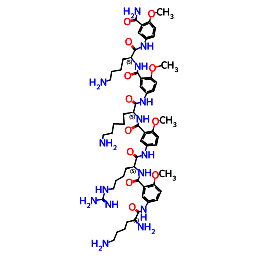 COc1ccc(NC(=O)[C@H](CCCCN)NC(=O)c2cc(NC(=O)[C@H](CCCCCN)NC(=O)c3cc(NC(=O)[C@H](CCCCNC(=N)N)NC(=O)c4cc(NC(=O)[C@@H](N)CCCCN)ccc4OC)ccc3OC)ccc2OC)cc1C(N)=O